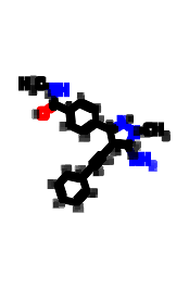 CNC(=O)c1ccc(-c2nn(C)c(N)c2C#Cc2ccccc2)cc1